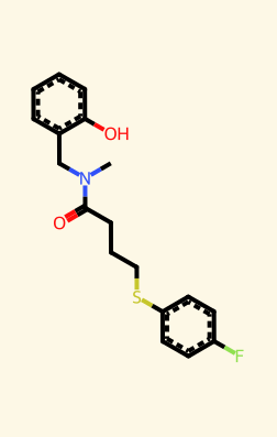 CN(Cc1ccccc1O)C(=O)CCCSc1ccc(F)cc1